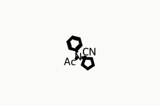 CC(=O)N(c1ccccc1)C1(C#N)CCCC1